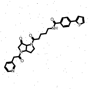 O=C(NCCCCC(=O)N1CCC2C1C(=O)CN2C(=O)Cc1cccnc1)c1ccc(-c2cccs2)cc1